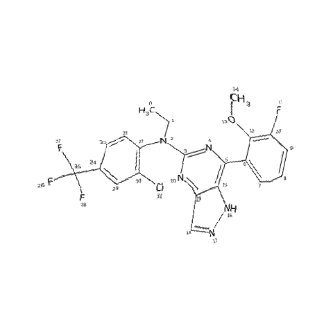 CCN(c1nc(-c2cccc(F)c2OC)c2[nH]ncc2n1)c1ccc(C(F)(F)F)cc1Cl